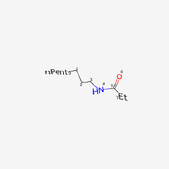 CCCCCCCCNC(=O)CC